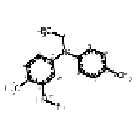 CCN(c1ccc(C)cc1)c1ccc(C)c(NF)c1